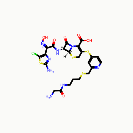 NCC(=O)NCCCSCc1cc(SC2=C(C(=O)O)N3C(=O)[C@@H](NC(=O)/C(=N\O)c4nc(N)sc4Cl)[C@@H]3SC2)ccn1